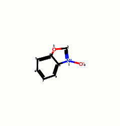 [O-][n+]1[c]oc2ccccc21